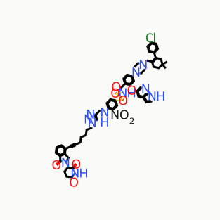 CC1(C)CCC(CN2CCN(c3ccc(C(=O)NS(=O)(=O)c4ccc(NCc5cn(CCCCCC#Cc6cccc7c6CN(C6CCC(=O)NC6=O)C7=O)nn5)c([N+](=O)[O-])c4)c(Oc4cnc5[nH]ccc5c4)c3)CC2)=C(c2ccc(Cl)cc2)C1